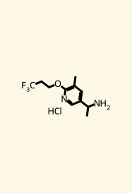 Cc1cc(C(C)N)cnc1OCCC(F)(F)F.Cl